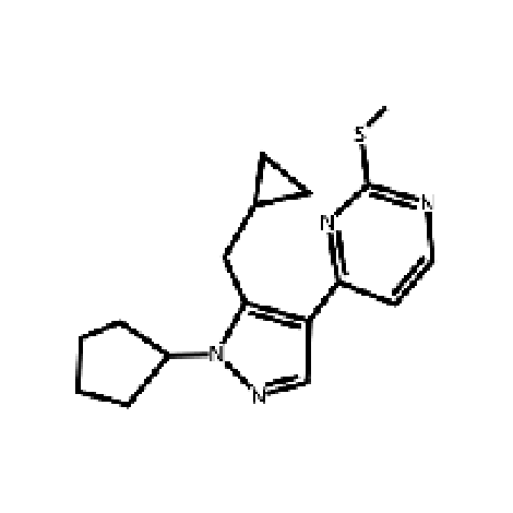 CSc1nccc(-c2cnn(C3CCCC3)c2CC2CC2)n1